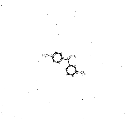 Cc1ccc(C(N)c2cccc(C(F)(F)F)c2)cc1